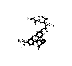 CCCCCCCC(=O)SC[C@@H](C(=O)NC)N(C)C(=O)Oc1ccc2c(c1)Oc1cc(N(C)C)ccc1C21OC(=O)c2ccccc21